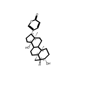 C[C@]12CC[C@H](O)[C@@H]3C[C@@]31CCC1C2CC[C@]2(C)[C@@H](c3ccc(=O)oc3)CC[C@]12O